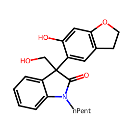 CCCCCN1C(=O)C(CO)(c2cc3c(cc2O)OCC3)c2ccccc21